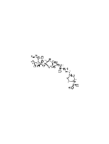 O=C(NCCN1CCN(C(=O)O)CC1)Nc1nc2ccc(OS(=O)(=O)c3c(Cl)cccc3Cl)cc2s1